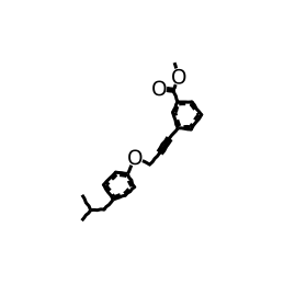 COC(=O)c1cccc(C#CCOc2ccc(CC(C)C)cc2)c1